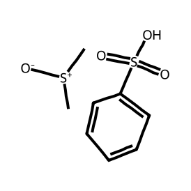 C[S+](C)[O-].O=S(=O)(O)c1ccccc1